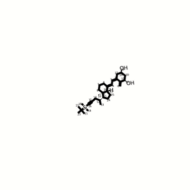 C=C1/C(=C\C=C2/CCC[C@]3(C)[C@@H](C(C)CC#C[Si](C)(C)C(C)(C)C)CC[C@@H]23)C[C@@H](O)C[C@@H]1O